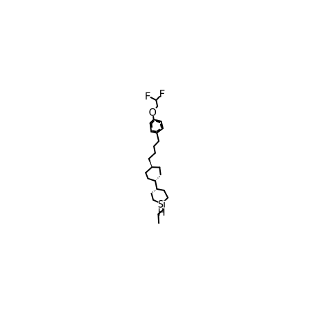 CCC[Si@H]1CC[C@H]([C@H]2CC[C@H](CCCCc3ccc(OCC(F)F)cc3)CC2)CC1